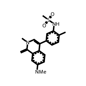 C=C1c2cc(NC)ccc2C(c2ccc(C)c(NS(C)(=O)=O)c2)=CN1C